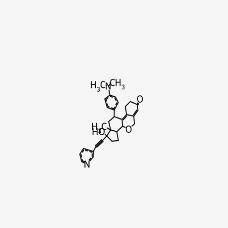 CN(C)c1ccc(C2CC3(C)C(CCC3(O)C#Cc3cccnc3)C3OCC4=CC(=O)CCC4=C23)cc1